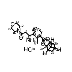 CC(C)C[C@H](NC(=O)C(N)CC(=O)N1CCOCC1)B1O[C@@H]2C[C@@H]3C[C@@H](C3(C)C)[C@]2(C)O1.Cl